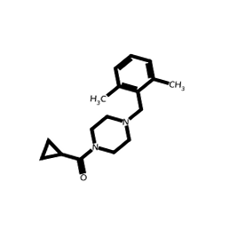 Cc1cccc(C)c1CN1CCN(C(=O)C2CC2)CC1